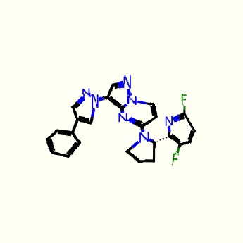 Fc1ccc(F)c([C@@H]2CCCN2c2ccn3ncc(-n4cc(-c5ccccc5)cn4)c3n2)n1